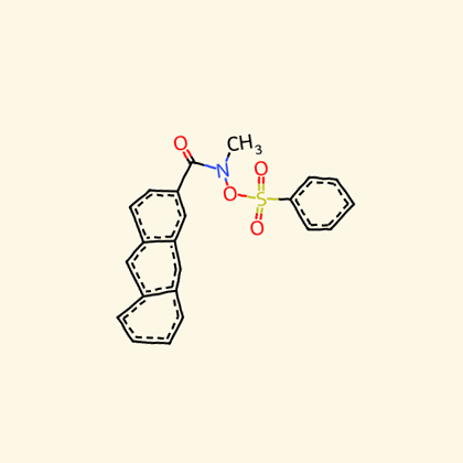 CN(OS(=O)(=O)c1ccccc1)C(=O)c1ccc2cc3ccccc3cc2c1